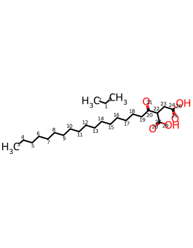 CCC.CCCCCCCCCCCCCCCCCC(=O)C(CC(=O)O)C(=O)O